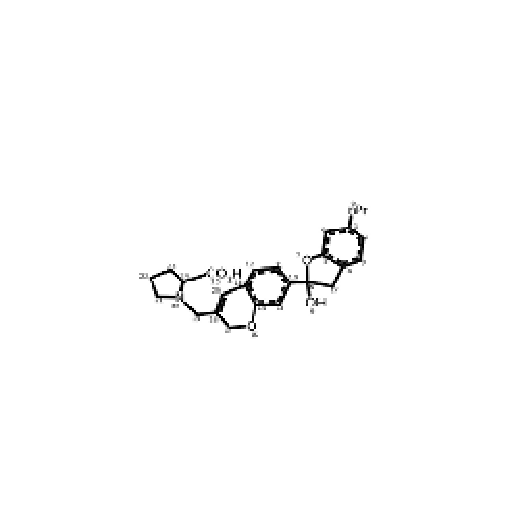 CCCc1ccc2c(c1)OC(O)(c1ccc3c(c1)OCC(CN1CCCC1C(=O)O)=C3)C2